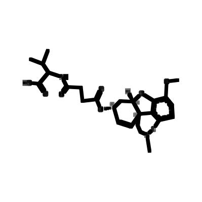 COc1ccc2c3c1O[C@H]1C[C@@H](OC(=O)CCC(=O)NC(C(=O)O)C(C)C)C=C[C@@]31CCN(C)C2